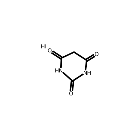 I.O=C1CC(=O)NC(=O)N1